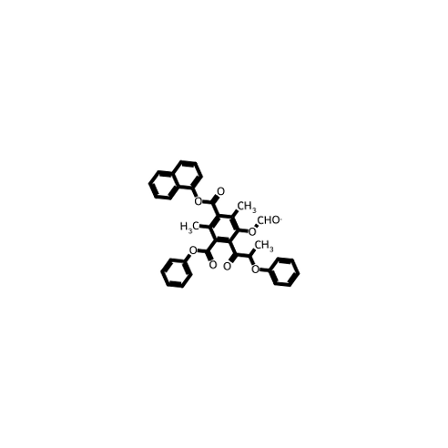 Cc1c(O[C]=O)c(C(=O)C(C)Oc2ccccc2)c(C(=O)Oc2ccccc2)c(C)c1C(=O)Oc1cccc2ccccc12